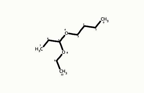 CCCCOC(CC)OCC